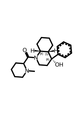 CN1CCCCC1C(=O)N1CC[C@](O)(c2ccccc2)[C@H]2CCCC[C@H]21